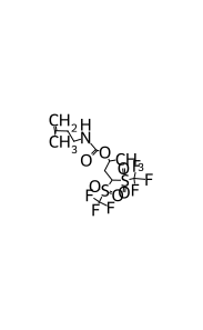 C=C(C)CCNC(=O)OC(C)CC(S(=O)(=O)C(F)(F)F)S(=O)(=O)C(F)(F)F